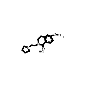 COc1ccc2c(c1)CCN(CCN1CCCC1)C2=O.Cl